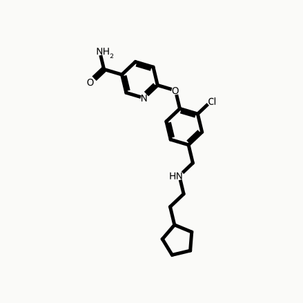 NC(=O)c1ccc(Oc2ccc(CNCCC3CCCC3)cc2Cl)nc1